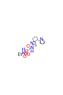 CCNS(=O)(=O)OCC(=O)Nc1nc2c(s1)C(c1ccccn1)CCC2